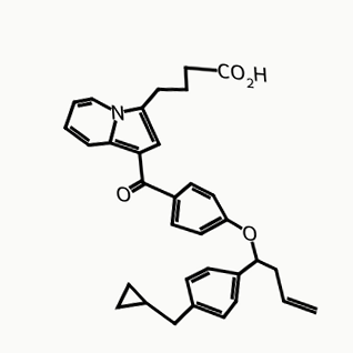 C=CCC(Oc1ccc(C(=O)c2cc(CCCC(=O)O)n3ccccc23)cc1)c1ccc(CC2CC2)cc1